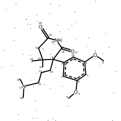 COc1cc(OC)cc(C2(CCCN(C)C)C(=O)NC(=O)CC2(C)C)c1